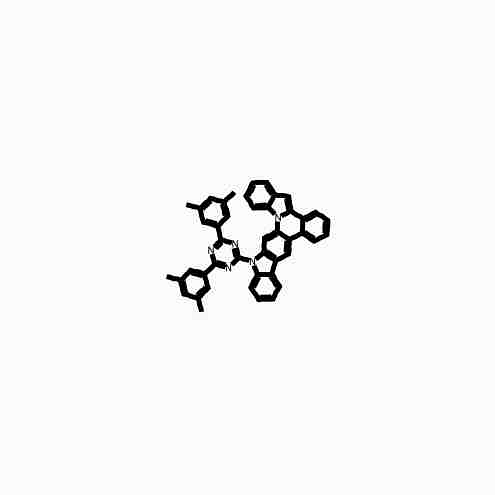 Cc1cc(C)cc(-c2nc(-c3cc(C)cc(C)c3)nc(-n3c4ccccc4c4cc5c6ccccc6c6cc7ccccc7n6c5cc43)n2)c1